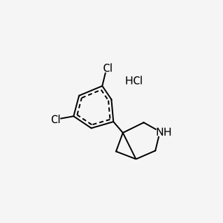 Cl.Clc1cc(Cl)cc(C23CNCC2C3)c1